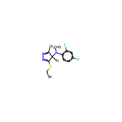 CCC1(N(C=O)c2ccc(F)cc2F)C(SCC(C)C)=NN=C1C(F)(F)F